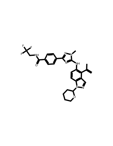 C=C(C)c1c(Nc2nc(-c3ccc(C(=O)NCC(F)(F)F)cc3)nn2C)ccc2c1cnn2C1CCCCO1